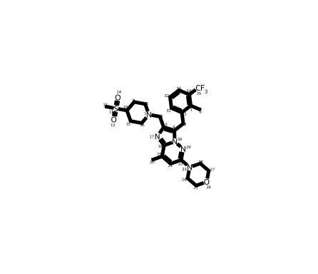 Cc1c(Cc2c(CN3CCC(S(C)(=O)=O)CC3)nc3c(C)cc(N4CCOCC4)nn23)cccc1C(F)(F)F